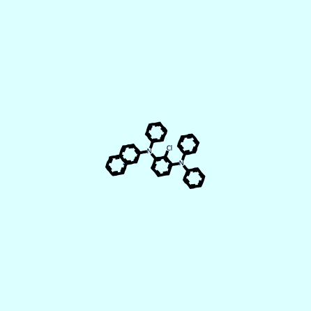 Clc1c(N(c2ccccc2)c2ccccc2)cccc1N(c1ccccc1)c1ccc2ccccc2c1